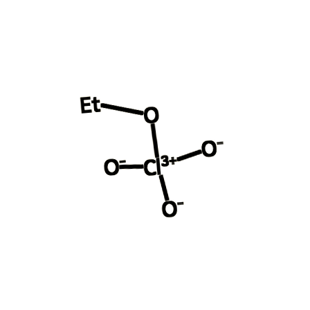 CCO[Cl+3]([O-])([O-])[O-]